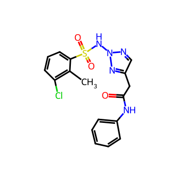 Cc1c(Cl)cccc1S(=O)(=O)Nn1ncc(CC(=O)Nc2ccccc2)n1